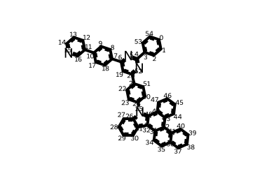 c1ccc(-c2nc(-c3ccc(-c4cccnc4)cc3)cc(-c3ccc(-n4c5ccccc5c5c6ccc7ccccc7c6c6ccccc6c54)cc3)n2)cc1